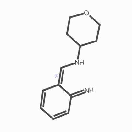 N=C1C=CC=C/C1=C/NC1CCOCC1